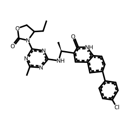 CCC1COC(=O)N1c1nc(C)nc(N[C@@H](C)c2cc3cc(-c4ccc(Cl)cc4)ccc3[nH]c2=O)n1